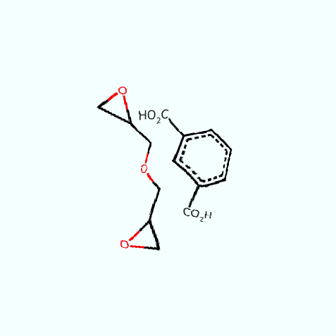 C(OCC1CO1)C1CO1.O=C(O)c1cccc(C(=O)O)c1